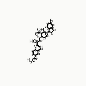 COc1ccc2nc(C(O)CC[C@@H]3CCN(C4CCc5cc(F)ccc54)C[C@@H]3C(=O)O)ccc2c1